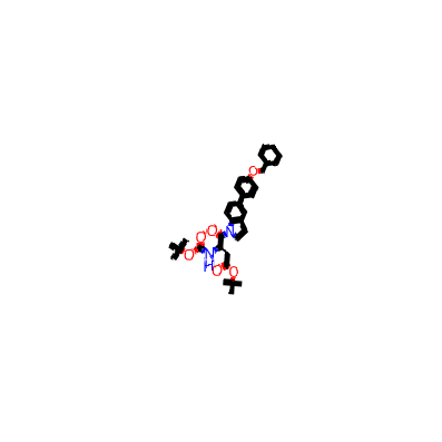 CC(C)(C)OC(=O)C[C@@H](NC(=O)OC(C)(C)C)C(=O)N1CCc2cc(-c3ccc(OCC4CCCCC4)cc3)ccc21